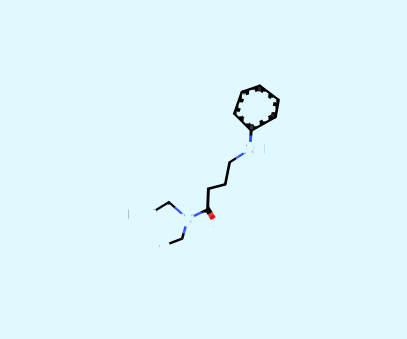 CCN(CC)C(=O)CCCNc1cc[c]cc1